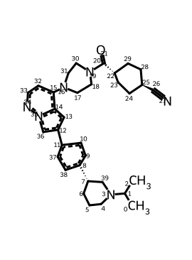 CC(C)N1CCC[C@H](c2ccc(-c3cc4c(N5CCN(C(=O)[C@H]6CC[C@H](C#N)CC6)CC5)ccnn4c3)cc2)C1